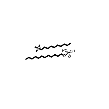 CCCCCCCCCCCCOP(=O)(O)O.CCCCCCCCCC[N+](C)(C)C